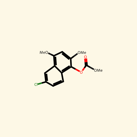 COC(=O)Oc1c(OC)cc(OC)c2cc(Cl)ccc12